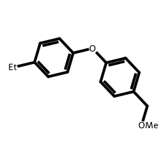 CCc1ccc(Oc2ccc(COC)cc2)cc1